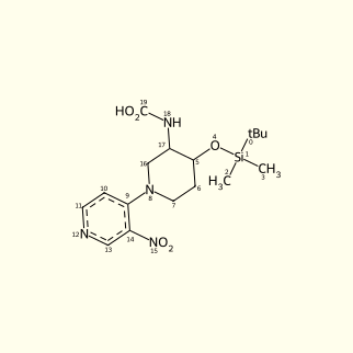 CC(C)(C)[Si](C)(C)OC1CCN(c2ccncc2[N+](=O)[O-])CC1NC(=O)O